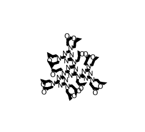 C1CC1CN(CC1CO1)c1nc(N(CC2CO2)CC2CO2)nc(N(CC2CO2)c2nc(N(CC3CO3)c3nc(N(CC4CO4)CC4CO4)nc(N(CC4CO4)CC4CO4)n3)nc(N(CC3CO3)c3nc(N(CC4CO4)CC4CO4)nc(N(CC4CO4)CC4CO4)n3)n2)n1